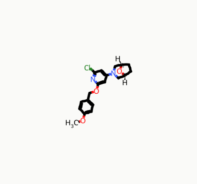 COc1ccc(COc2cc(N3C[C@H]4CC[C@@H](C3)O4)cc(Cl)n2)cc1